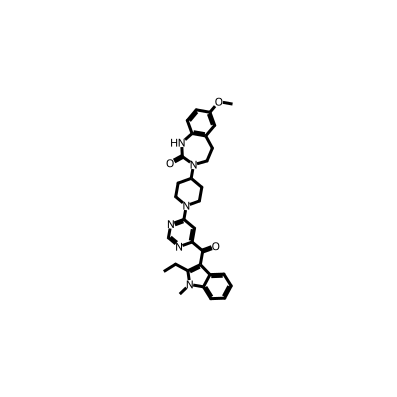 CCc1c(C(=O)c2cc(N3CCC(N4CCc5cc(OC)ccc5NC4=O)CC3)ncn2)c2ccccc2n1C